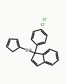 C1=CC[C]([Zr+2][C]2(c3ccccc3)C=Cc3ccccc32)=C1.[Cl-].[Cl-]